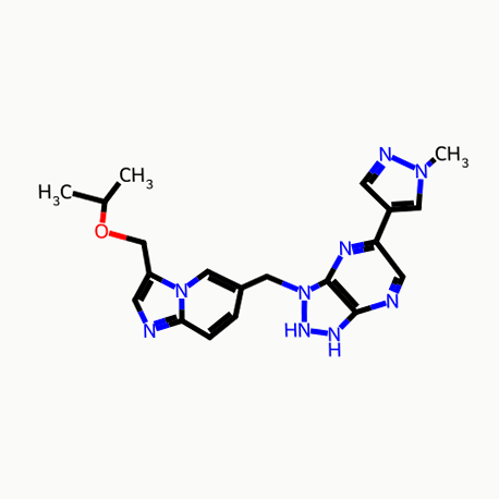 CC(C)OCc1cnc2ccc(CN3NNc4ncc(-c5cnn(C)c5)nc43)cn12